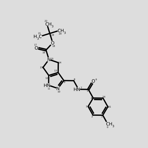 Cc1ccc(C(=O)NCc2n[nH]c3c2CN(C(=O)OC(C)(C)C)C3)cc1